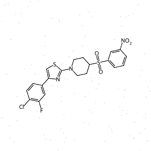 O=[N+]([O-])c1cccc(S(=O)(=O)C2CCN(c3nc(-c4ccc(Cl)c(F)c4)cs3)CC2)c1